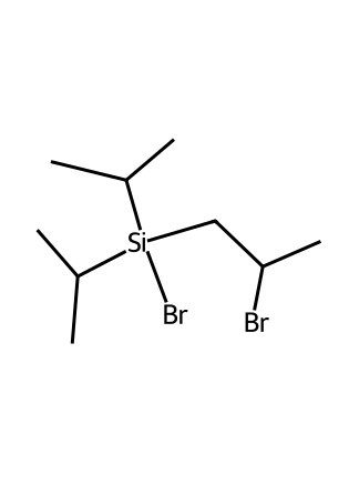 CC(Br)C[Si](Br)(C(C)C)C(C)C